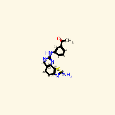 CC(=O)c1cccc(Nc2ncc3c(n2)-c2sc(N)nc2CC3)c1